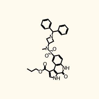 CCCOC(=O)c1c[nH]c2c(=O)[nH]c3ccc(S(=O)(=O)N(C)C4CN(C(c5ccccc5)c5ccccc5)C4)cc3c12